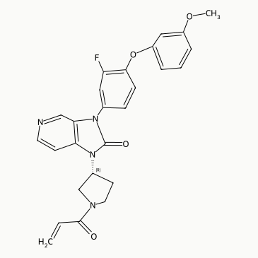 C=CC(=O)N1CC[C@@H](n2c(=O)n(-c3ccc(Oc4cccc(OC)c4)c(F)c3)c3cnccc32)C1